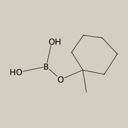 CC1(OB(O)O)CCCCC1